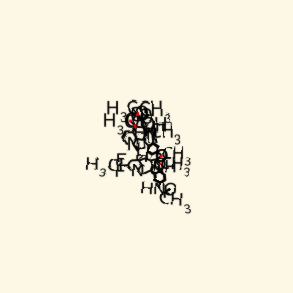 CC[C@]12C=CCN3CC[C@@]4(c5cc([C@@]6(C(=O)OC)C[C@H]7CC(C(C)(F)F)CN(Cc8c6[nH]c6ccc(NC(C)=O)cc86)C7)c(OC)cc5N(C)[C@H]4[C@@](O)(C(=O)OC)[C@@H]1OC(C)=O)[C@@H]32